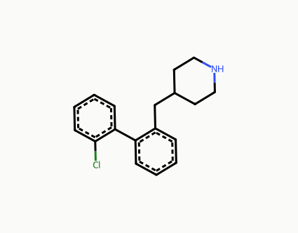 Clc1ccccc1-c1ccccc1CC1CCNCC1